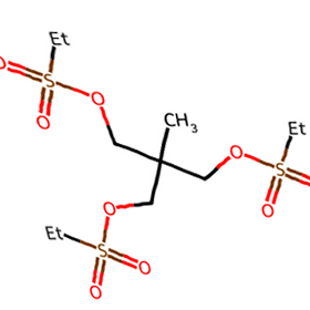 CCS(=O)(=O)OCC(C)(COS(=O)(=O)CC)COS(=O)(=O)CC